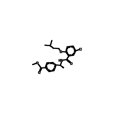 COC(=O)c1ccc([C@H](C)NC(=O)c2cc(Cl)ccc2OCCC(C)C)cc1